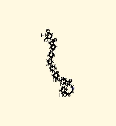 C[C@@]1(O)CC/C=C\Cn2c(=O)c3cnc(Nc4ccc(N5CCN(C6CCN(C7CCN(c8ccc9c(c8)CN(C8CCC(=O)NC8=O)C9=O)CC7)C6)CC5)cc4)nc3n2-c2cccc1n2